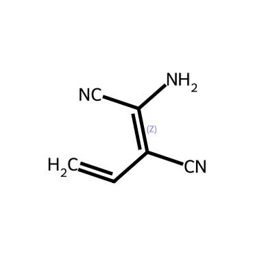 C=C/C(C#N)=C(/N)C#N